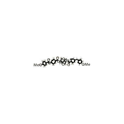 COc1ccc(Cc2ccc(C(=O)O[C@@H]3CO[C@H]4[C@@H]3OC[C@@H]4OC(=O)c3ccc(OC(=O)c4ccc(OC)cc4)cc3)cc2)cc1